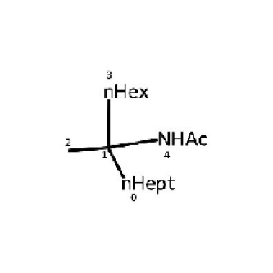 CCCCCCCC(C)(CCCCCC)NC(C)=O